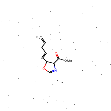 C=CCC=CC1OC=NC1C(=O)OC